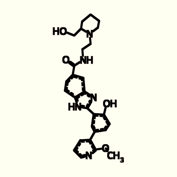 COc1ncccc1-c1ccc(O)c(-c2nc3cc(C(=O)NCCN4CCCCC4CO)ccc3[nH]2)c1